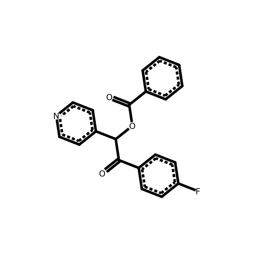 O=C(OC(C(=O)c1ccc(F)cc1)c1ccncc1)c1ccccc1